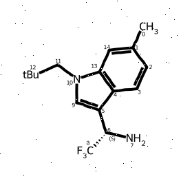 Cc1ccc2c([C@H](N)C(F)(F)F)cn(CC(C)(C)C)c2c1